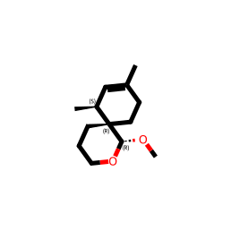 CO[C@@H]1OCCC[C@@]12CCC(C)=C[C@@H]2C